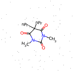 CCCC1(CCC)C(=O)N(C)C(=O)N(C)C1=O